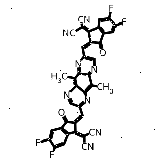 Cc1c2ncc(/C=C3\C(=O)c4cc(F)c(F)cc4C3=C(C#N)C#N)nc2c(C)c2ncc(/C=C3\C(=O)c4cc(F)c(F)cc4C3=C(C#N)C#N)nc12